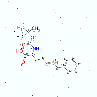 CC(C)(C)OC(=O)NC(CCC=[SH]Cc1ccccc1)C(=O)O